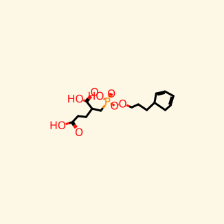 O=C(O)CCC(CP(=O)(O)OOCCCC1C=CC=CC1)C(=O)O